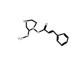 COC1CNCCN1OC(=O)/C=C/c1ccccc1